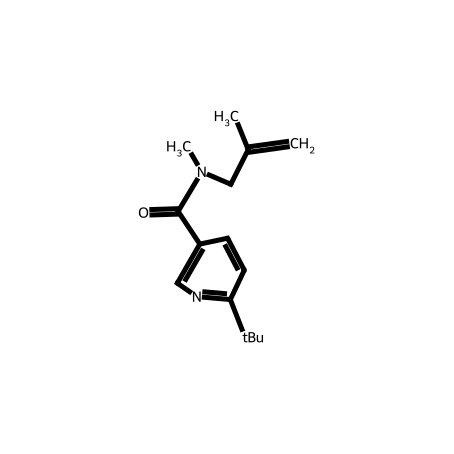 C=C(C)CN(C)C(=O)c1ccc(C(C)(C)C)nc1